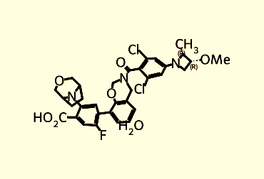 CO[C@@H]1CN(c2cc(Cl)c(C(=O)N3COc4c(cccc4-c4cc(N5C6CCC5COC6)c(C(=O)O)cc4F)C3)c(Cl)c2)[C@@H]1C.O